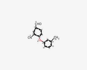 [C-]#[N+]c1cc(C=O)ccc1Oc1cccc(C)c1